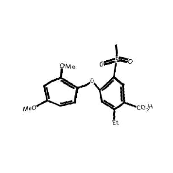 CCc1cc(Oc2ccc(OC)cc2OC)c(S(C)(=O)=O)cc1C(=O)O